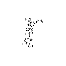 NCCCC[C@H](NC(=O)CN)C(=O)N1CCC[C@H]1C(=O)NCC(=O)N[C@@H](CO)C(=O)O